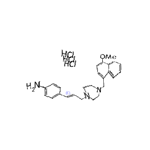 COc1ccc(CN2CCN(C/C=C/c3ccc(N)cc3)CC2)c2ccccc12.Cl.Cl.Cl